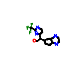 O=CC(c1ccc2nccnc2c1)c1ccnc(C(F)(F)F)n1